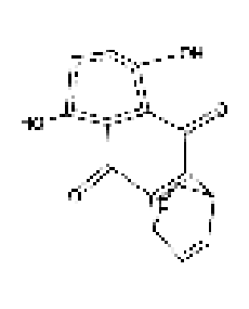 O=C1C2=C(C(=O)c3c(O)ccc(O)c31)C1C=CC2CC1